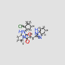 C[C@@H]1CCC[N+]1(C(=O)CCc1nc2ccccc2[nH]1)C(=O)Nc1ccccc1Cl